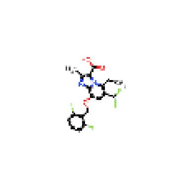 CCc1c(C(F)F)cc(OCc2c(F)cccc2F)c2nc(C)c(C(=O)O)n12